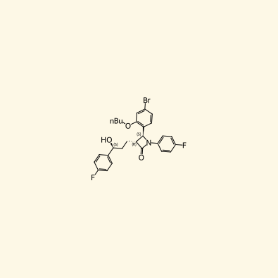 CCCCOc1cc(Br)ccc1[C@@H]1[C@@H](CC[C@H](O)c2ccc(F)cc2)C(=O)N1c1ccc(F)cc1